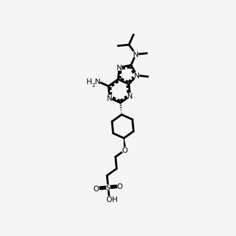 CC(C)N(C)c1nc2c(N)nc([C@H]3CC[C@H](OCCCS(=O)(=O)O)CC3)nc2n1C